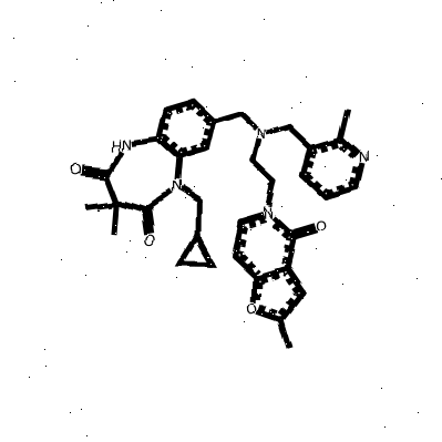 Cc1cc2c(=O)n(CCN(Cc3ccc4c(c3)N(CC3CC3)C(=O)C(C)(C)C(=O)N4)Cc3cccnc3C)ccc2o1